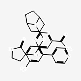 NC(=O)c1cc(NC2CCNC2=O)nc(N2C3CCC2CC(Oc2ccc(C(F)(F)F)cc2-c2ccncc2)C3)n1